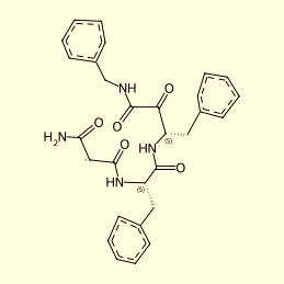 NC(=O)[CH]C(=O)N[C@@H](Cc1ccccc1)C(=O)N[C@@H](Cc1ccccc1)C(=O)C(=O)NCc1ccccc1